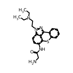 CCN(CC)CCn1nc2c3c(c(NC(=O)CN)ccc31)Sc1ccccc1-2